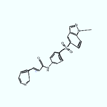 Cn1ncc2cc(S(=O)(=O)c3ccc(NC(=O)/C=C/c4cccnc4)cc3)ccc21